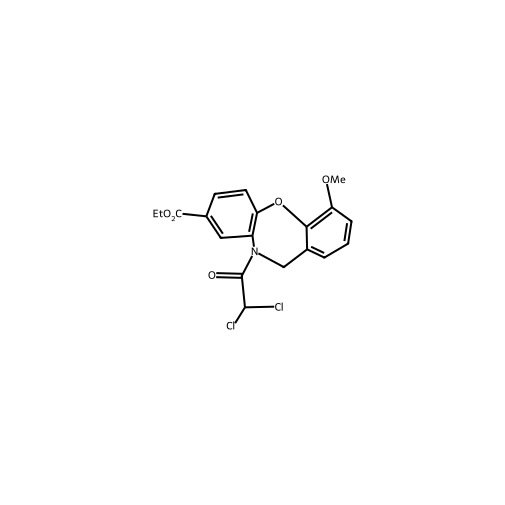 CCOC(=O)c1ccc2c(c1)N(C(=O)C(Cl)Cl)Cc1cccc(OC)c1O2